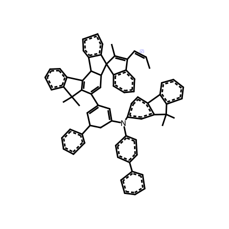 C/C=C\C1=C(C)C2(c3ccccc31)c1ccccc1C1C3=C(C(C4=CC(c5ccccc5)CC(N(c5ccc(-c6ccccc6)cc5)c5ccc6c(c5)C(C)(C)c5ccccc5-6)=C4)=CC12)C(C)(C)c1ccccc13